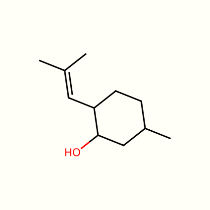 CC(C)=CC1CCC(C)CC1O